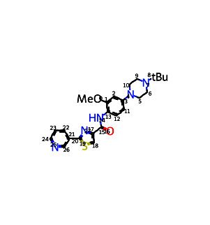 COc1cc(N2CCN(C(C)(C)C)CC2)ccc1NC(=O)c1csc(-c2cccnc2)n1